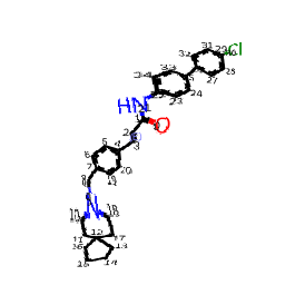 O=C(/C=C/c1ccc(CN2CCC3(CCCC3)CC2)cc1)Nc1ccc(-c2ccc(Cl)cc2)cc1